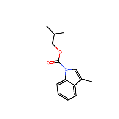 Cc1cn(C(=O)OCC(C)C)c2ccccc12